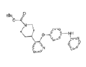 CC(C)(C)OC(=O)N1CCC(c2cccnc2Oc2ccc(Nc3ccccn3)cc2)CC1